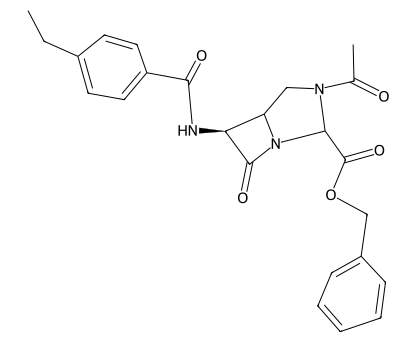 CCc1ccc(C(=O)N[C@@H]2C(=O)N3C2CN(C(C)=O)C3C(=O)OCc2ccccc2)cc1